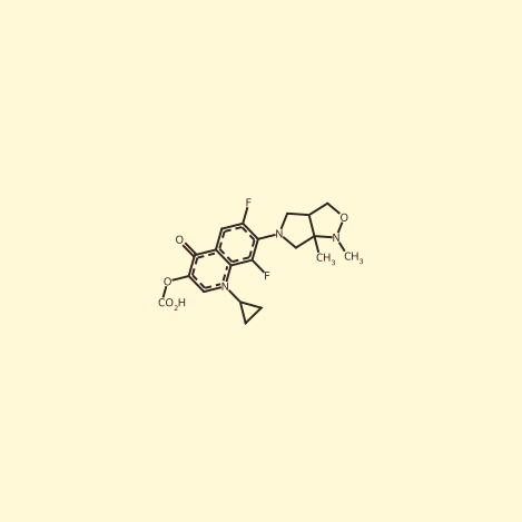 CN1OCC2CN(c3c(F)cc4c(=O)c(OC(=O)O)cn(C5CC5)c4c3F)CC21C